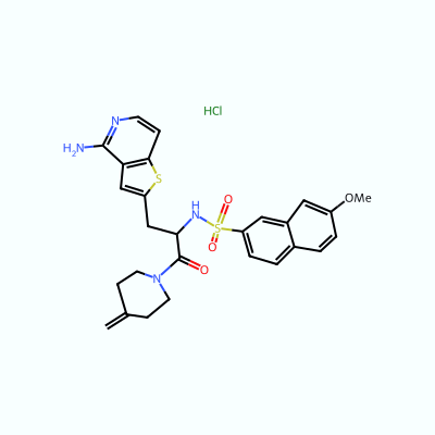 C=C1CCN(C(=O)C(Cc2cc3c(N)nccc3s2)NS(=O)(=O)c2ccc3ccc(OC)cc3c2)CC1.Cl